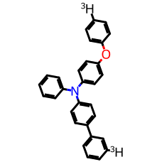 [3H]c1ccc(Oc2ccc(N(c3ccccc3)c3ccc(-c4cccc([3H])c4)cc3)cc2)cc1